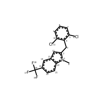 Cn1c(Cc2c(Cl)[c]ccc2Cl)cc2cc(C(F)(F)F)ccc21